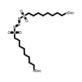 CCCCCCCCCCCCCCCCCCS(=O)(=O)N=S=NS(=O)(=O)CCCCCCCCCCCCCCCCCC